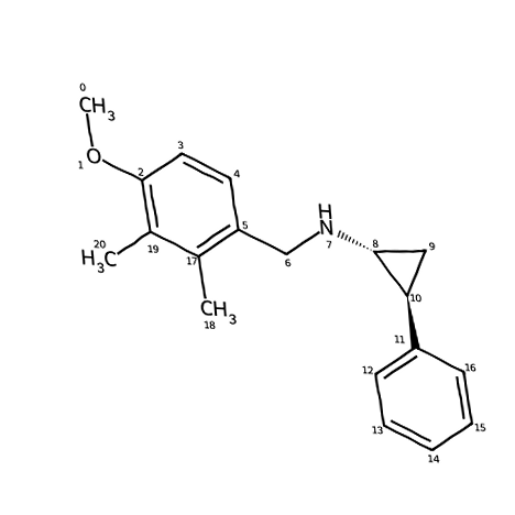 COc1ccc(CN[C@@H]2C[C@H]2c2ccccc2)c(C)c1C